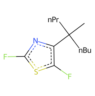 CCCCC(C)(CCC)c1nc(F)sc1F